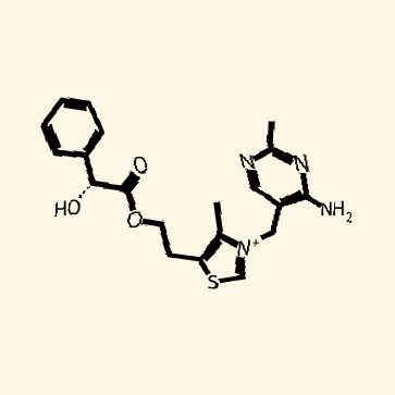 Cc1ncc(C[n+]2csc(CCOC(=O)[C@H](O)c3ccccc3)c2C)c(N)n1